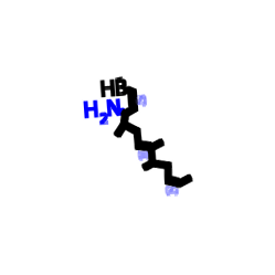 CB/C=C\C(N)C(C)C/C=C(\C)C(C)C/C=C\C